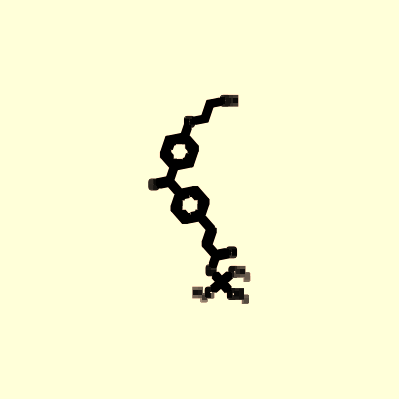 CC(C)(C)OC(=O)C=Cc1ccc(C(=O)c2ccc(OCCO)cc2)cc1